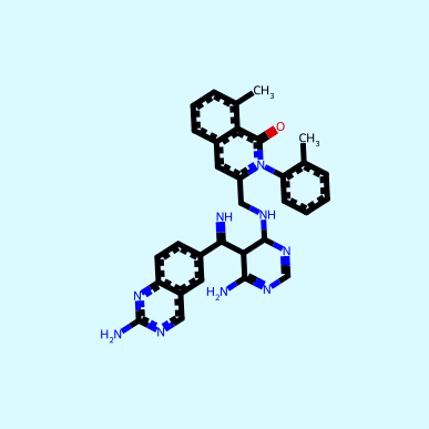 Cc1ccccc1-n1c(CNC2N=CN=C(N)C2C(=N)c2ccc3nc(N)ncc3c2)cc2cccc(C)c2c1=O